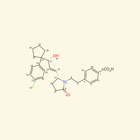 O=C(O)c1ccc(CCN2C(=O)CC[C@@H]2C=C[C@@H](O)C2(c3ccc(F)cc3)CCCC2)cc1